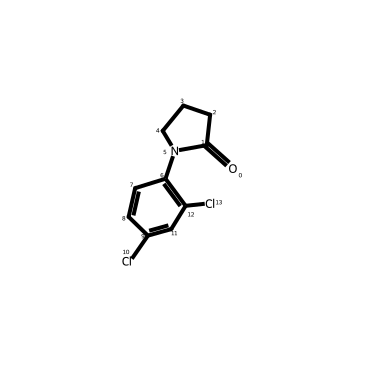 O=C1CCCN1c1ccc(Cl)cc1Cl